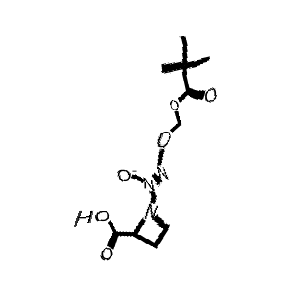 CC(C)(C)C(=O)OCON=[N+]([O-])N1CCC1C(=O)O